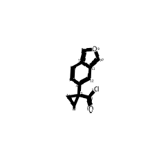 O=C(Cl)C1(c2ccc3cocc3c2)CC1